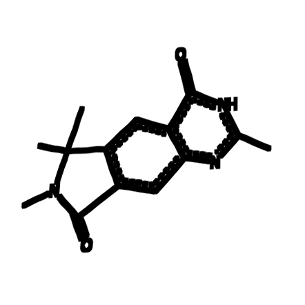 Cc1nc2cc3c(cc2c(=O)[nH]1)C(C)(C)N(C)C3=O